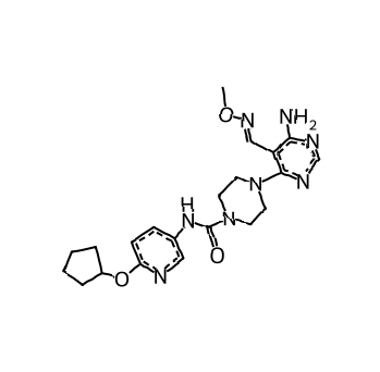 CON=Cc1c(N)ncnc1N1CCN(C(=O)Nc2ccc(OC3CCCC3)nc2)CC1